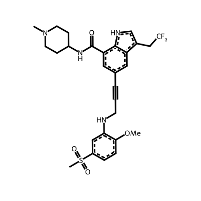 COc1ccc(S(C)(=O)=O)cc1NCC#Cc1cc(C(=O)NC2CCN(C)CC2)c2[nH]cc(CC(F)(F)F)c2c1